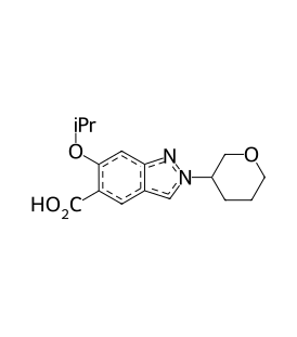 CC(C)Oc1cc2nn(C3CCCOC3)cc2cc1C(=O)O